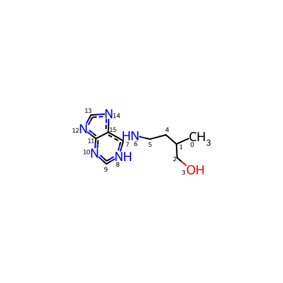 CC(CO)CCNc1[nH]cnc2ncnc1-2